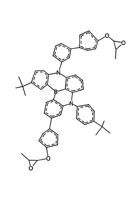 CC1OC1Oc1ccc(-c2cccc(N3c4ccc(C(C)(C)C)cc4B4c5ccc(-c6ccc(OC7OC7C)cc6)cc5N(c5ccc(C(C)(C)C)cc5)c5cccc3c54)c2)cc1